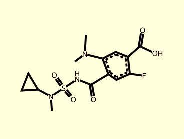 CN(C)c1cc(C(=O)O)c(F)cc1C(=O)NS(=O)(=O)N(C)C1CC1